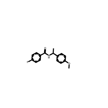 COc1ccc(C(C)NC(=O)c2ccc(F)cc2)cc1